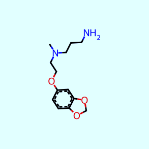 CN(CCCN)CCOc1ccc2c(c1)OCO2